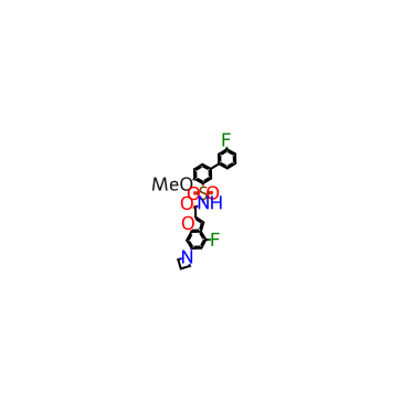 COc1ccc(-c2cccc(F)c2)cc1S(=O)(=O)NC(=O)c1cc2c(F)cc(N3CCC3)cc2o1